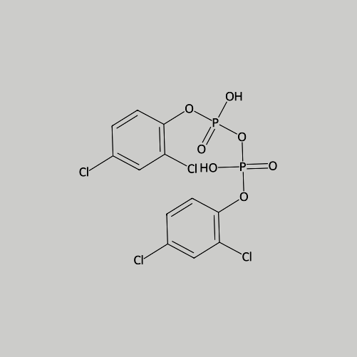 O=P(O)(Oc1ccc(Cl)cc1Cl)OP(=O)(O)Oc1ccc(Cl)cc1Cl